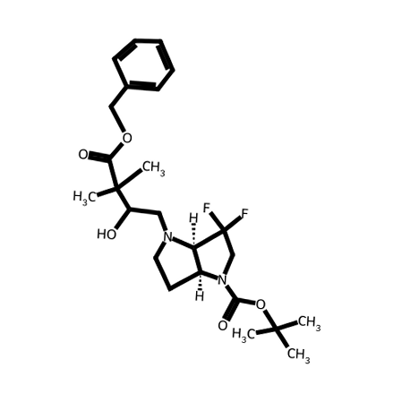 CC(C)(C)OC(=O)N1CC(F)(F)[C@H]2[C@@H]1CCN2CC(O)C(C)(C)C(=O)OCc1ccccc1